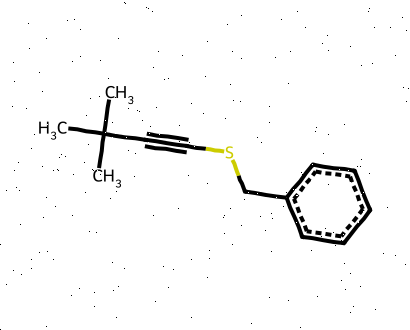 CC(C)(C)C#CSCc1ccccc1